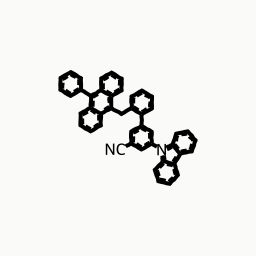 N#Cc1cc(-c2ccccc2Cc2c3ccccc3c(-c3ccccc3)c3ccccc23)cc(-n2c3ccccc3c3ccccc32)c1